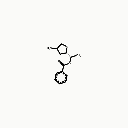 CC(OC(=O)c1ccccc1)[C@@H]1C[C@@H](N)CO1